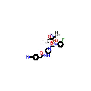 Cc1noc(C)c1S(=O)(=O)N(CCN1CCC(NC(=O)Cc2ccc(C#N)cc2)CC1)c1cccc(F)c1